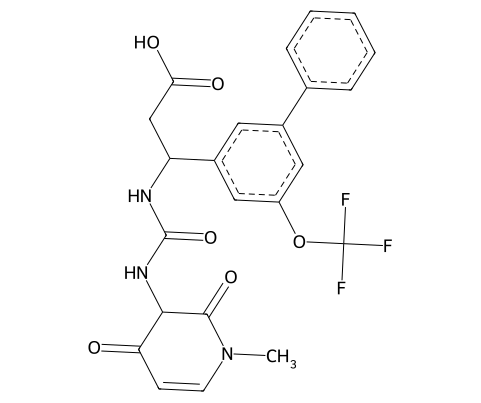 CN1C=CC(=O)C(NC(=O)NC(CC(=O)O)c2cc(OC(F)(F)F)cc(-c3ccccc3)c2)C1=O